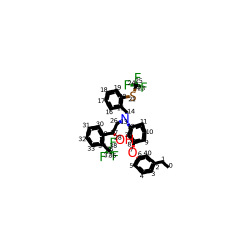 CCc1cccc(Oc2cccc(N(Cc3ccccc3SC(F)(F)F)CC(O)c3ccccc3C(F)(F)F)c2)c1